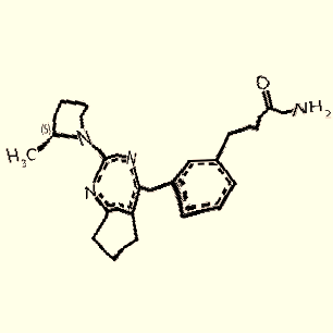 C[C@H]1CCN1c1nc2c(c(-c3cccc(CCC(N)=O)c3)n1)CCC2